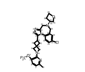 Cc1ccc(OC(F)(F)F)c(N2CC3(CC(c4nnc5n4-c4ccc(Cl)cc4CN([C@H]4CCOC4)C5)C3)C2)n1